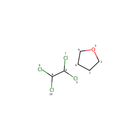 C1CCOC1.ClC(Cl)C(Cl)Cl